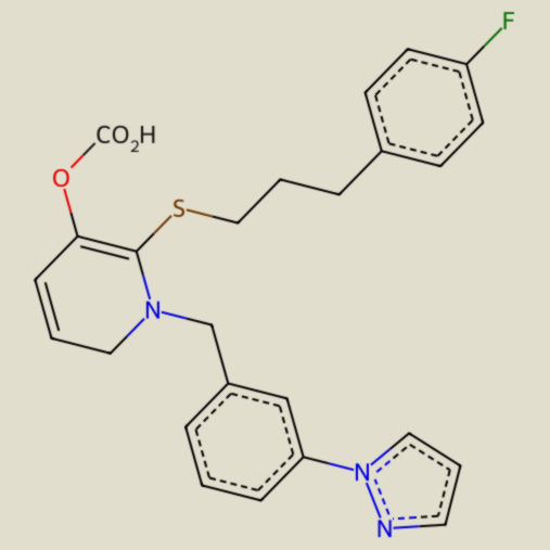 O=C(O)OC1=C(SCCCc2ccc(F)cc2)N(Cc2cccc(-n3cccn3)c2)CC=C1